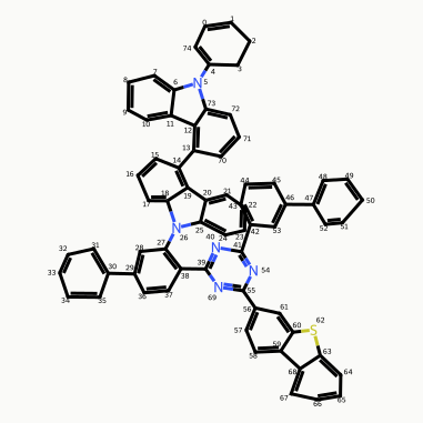 C1=CCCC(n2c3ccccc3c3c(-c4cccc5c4c4ccccc4n5-c4cc(-c5ccccc5)ccc4-c4nc(-c5cccc(-c6ccccc6)c5)nc(-c5ccc6c(c5)sc5ccccc56)n4)cccc32)=C1